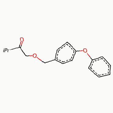 CC(C)C(=O)COCc1ccc(Oc2ccccc2)cc1